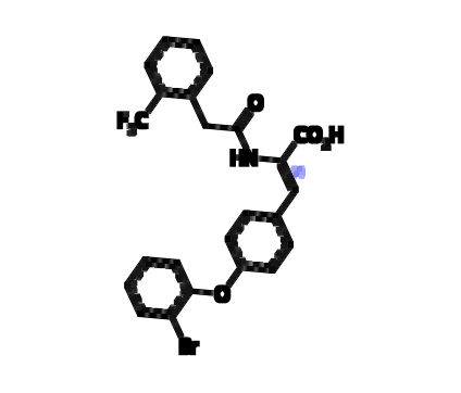 O=C(Cc1ccccc1C(F)(F)F)N/C(=C\c1ccc(Oc2ccccc2Br)cc1)C(=O)O